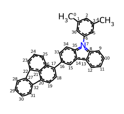 Cc1cc(C)cc(-n2c3ccccc3c3cc(-c4ccc5c6c(cccc46)-c4ccccc4-5)ccc32)c1